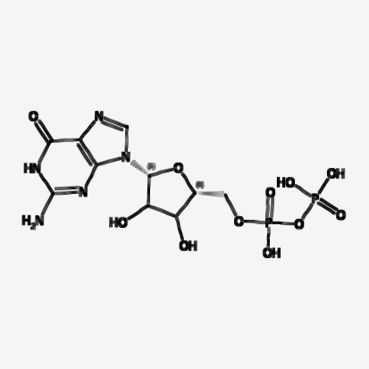 Nc1nc2c(ncn2[C@@H]2O[C@H](COP(=O)(O)OP(=O)(O)O)C(O)C2O)c(=O)[nH]1